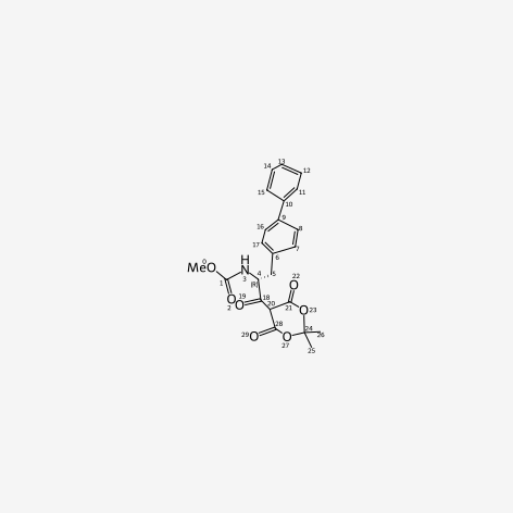 COC(=O)N[C@H](Cc1ccc(-c2ccccc2)cc1)C(=O)C1C(=O)OC(C)(C)OC1=O